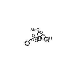 COC(=O)CC(NC(=O)OCc1ccccc1)c1ccc2[nH]ncc2c1CCl